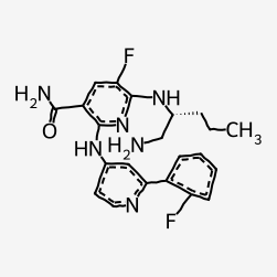 CCC[C@H](CN)Nc1nc(Nc2ccnc(-c3ccccc3F)c2)c(C(N)=O)cc1F